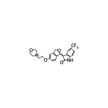 O=C1Nc2ccc(C(F)(F)F)cc2C1=C1OCc2cc(OCCN3CCOCC3)ccc21